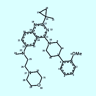 COc1ccccc1C1CCN(c2nc(C3(C)CC3)nc3ccc(N(C)CCN4CCOCC4)cc23)CC1